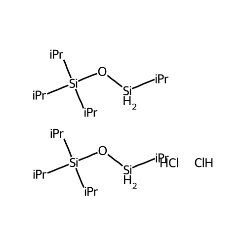 CC(C)[SiH2]O[Si](C(C)C)(C(C)C)C(C)C.CC(C)[SiH2]O[Si](C(C)C)(C(C)C)C(C)C.Cl.Cl